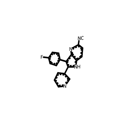 [C-]#[N+]c1ccc2[nH]c(-c3cccnc3)c(-c3ccc(F)cc3)c2n1